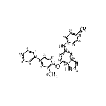 Cc1cc(-c2ccncc2)ccc1Oc1nc(Nc2ccc(C#N)cc2)nc2nc[nH]c12